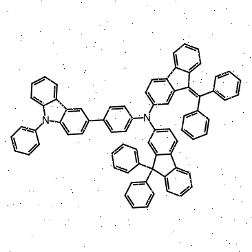 c1ccc(C(=C2c3ccccc3-c3ccc(N(c4ccc(-c5ccc6c(c5)c5ccccc5n6-c5ccccc5)cc4)c4ccc5c(c4)C(c4ccccc4)(c4ccccc4)c4ccccc4-5)cc32)c2ccccc2)cc1